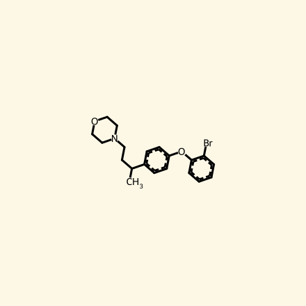 CC(CCN1CCOCC1)c1ccc(Oc2ccccc2Br)cc1